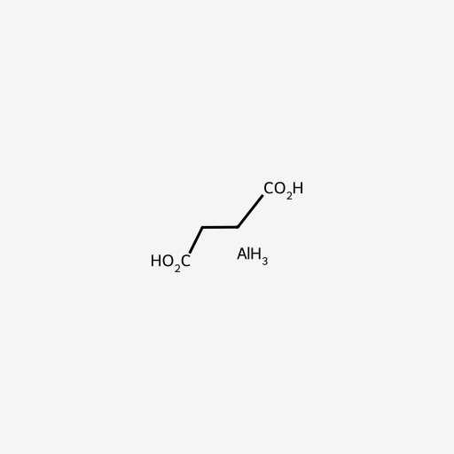 O=C(O)CCC(=O)O.[AlH3]